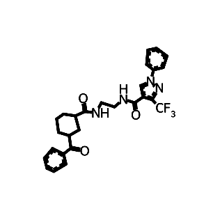 O=C(NCCNC(=O)C1CCCC(C(=O)c2ccccc2)C1)c1cn(-c2ccccc2)nc1C(F)(F)F